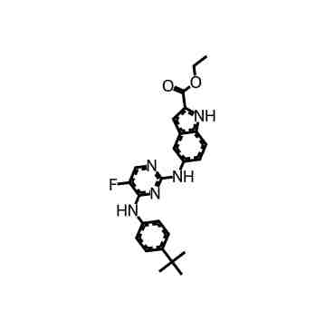 CCOC(=O)c1cc2cc(Nc3ncc(F)c(Nc4ccc(C(C)(C)C)cc4)n3)ccc2[nH]1